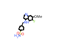 COc1cc2nccc(NCc3ccc(S(N)(=O)=O)cc3)c2cc1F